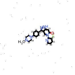 CN1CCN(c2ccc(-c3n[nH]c4cc(=O)n(-c5ncccc5F)cc34)cc2)CC1